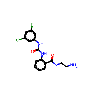 NCCNC(=O)c1ccccc1NC(=O)Nc1cc(F)cc(Cl)c1